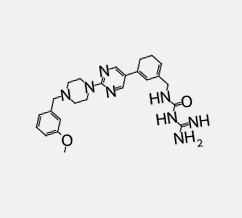 COc1cccc(CN2CCN(c3ncc(C4=CC(CNC(=O)NC(=N)N)=CCC4)cn3)CC2)c1